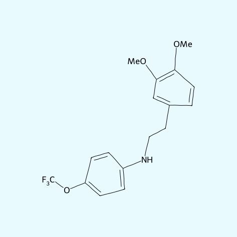 COc1ccc(CCNc2ccc(OC(F)(F)F)cc2)cc1OC